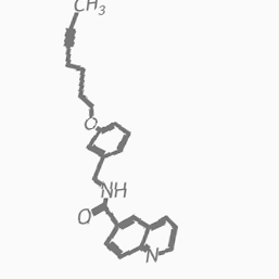 CC#CCCCCOc1cccc(CNC(=O)c2ccc3ncccc3c2)c1